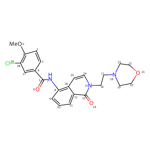 COc1ccc(C(=O)Nc2cccc3c(=O)n(CCN4CCOCC4)ccc23)cc1Cl